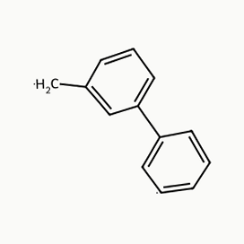 [CH2]c1cccc(-c2c[c]ccc2)c1